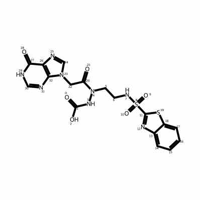 O=C(O)NN(CCNS(=O)(=O)c1nc2ccccc2s1)C(=O)Cn1cnc2c(=O)[nH]cnc21